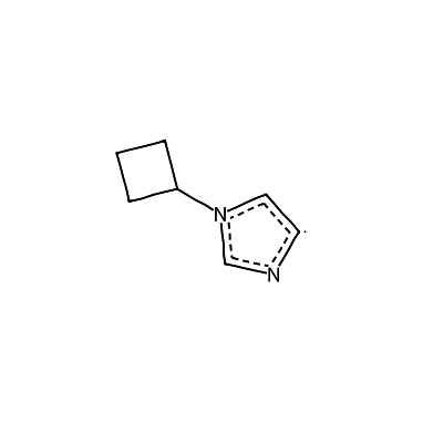 [c]1cn(C2CCC2)cn1